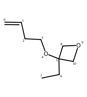 C=CCCOC1(CC)COC1